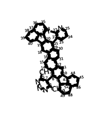 Cc1nnnc(C)c1-c1c2c(cc3c1ccc1c4cc5c(c(-c6cccnc6C(C)C)c4ccc31)-c1cccc3cccc-5c13)-c1cccc3cccc-2c13